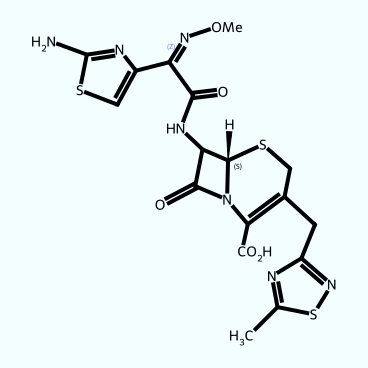 CO/N=C(\C(=O)NC1C(=O)N2C(C(=O)O)=C(Cc3nsc(C)n3)CS[C@@H]12)c1csc(N)n1